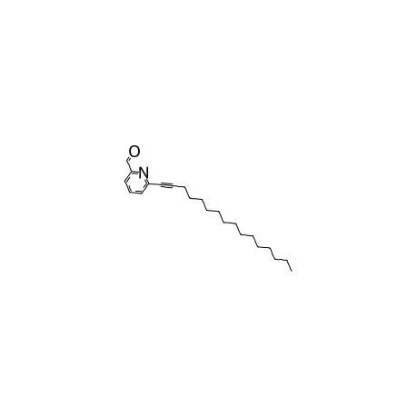 CCCCCCCCCCCCCCC#Cc1cccc(C=O)n1